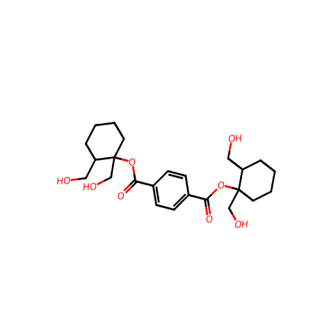 O=C(OC1(CO)CCCCC1CO)c1ccc(C(=O)OC2(CO)CCCCC2CO)cc1